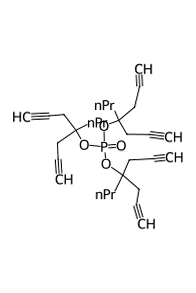 C#CCC(CC#C)(CCC)OP(=O)(OC(CC#C)(CC#C)CCC)OC(CC#C)(CC#C)CCC